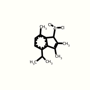 CC1=C(C)[CH]([Zr]([Cl])[Cl])c2c(C)ccc(C(C)C)c21